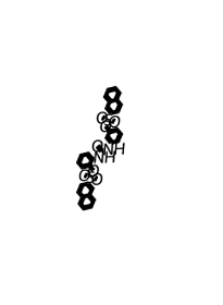 O=C(Nc1cccc(OS(=O)(=O)c2ccc3ccccc3c2)c1)Nc1ccccc1OS(=O)(=O)c1ccc2ccccc2c1